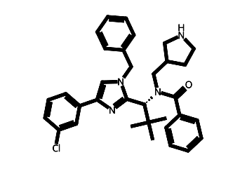 CC(C)(C)[C@H](c1nc(-c2cccc(Cl)c2)cn1Cc1ccccc1)N(CC1CCNC1)C(=O)c1ccccc1